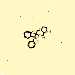 CC(C)(C[C@H]1CCNC1=O)[Si](O)(c1ccccc1)c1ccccc1